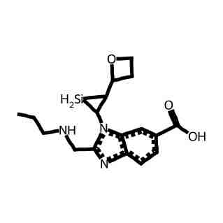 CCCNCc1nc2ccc(C(=O)O)cc2n1C1[SiH2]C1C1CCO1